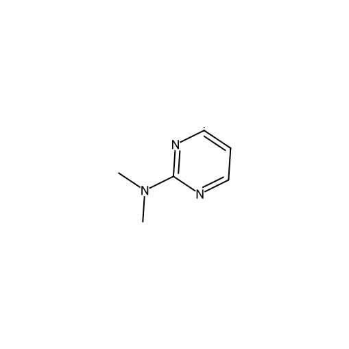 CN(C)c1n[c]ccn1